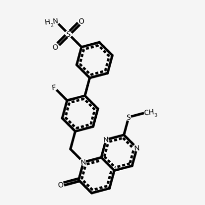 CSc1ncc2ccc(=O)n(Cc3ccc(-c4cccc(S(N)(=O)=O)c4)c(F)c3)c2n1